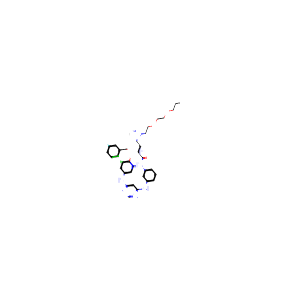 CCCOCCOCCN(C)C/C=C/C(=O)Nc1cccc(Nc2cc(Nc3ccc(OCc4cccc(F)c4)c(Cl)c3)ncn2)c1